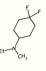 CCN(C)C1CCC(F)(F)CC1